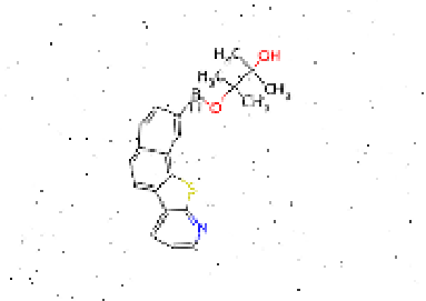 CC(C)(O)C(C)(C)OBc1ccc2ccc3c4cccnc4sc3c2c1